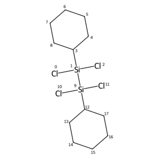 Cl[Si](Cl)(C1CCCCC1)[Si](Cl)(Cl)C1CCCCC1